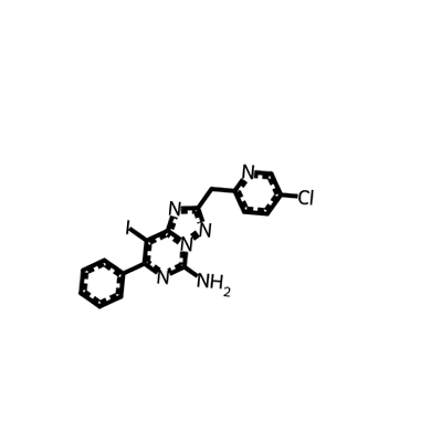 Nc1nc(-c2ccccc2)c(I)c2nc(Cc3ccc(Cl)cn3)nn12